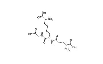 NC(CCC(=O)NC(CSSCC(N)C(=O)O)C(=O)NCC(=O)O)C(=O)O